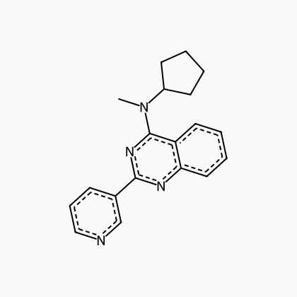 CN(c1nc(-c2cccnc2)nc2ccccc12)C1CCCC1